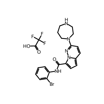 O=C(Nc1ccccc1Br)c1ccc2ccc(N3CCCNCC3)nn12.O=C(O)C(F)(F)F